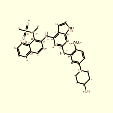 COc1ccc(N2CCC(O)CC2)cc1Nc1nc(Nc2ccc3nccnc3c2N(C)S(C)(=O)=O)c2cc[nH]c2n1